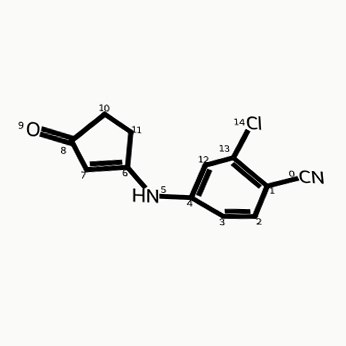 N#Cc1ccc(NC2=CC(=O)CC2)cc1Cl